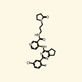 O=C(NCCCN1CCCC1=O)c1cnccc1Nc1nc(-c2cc(Cl)ccc2F)nc2c1CCC2